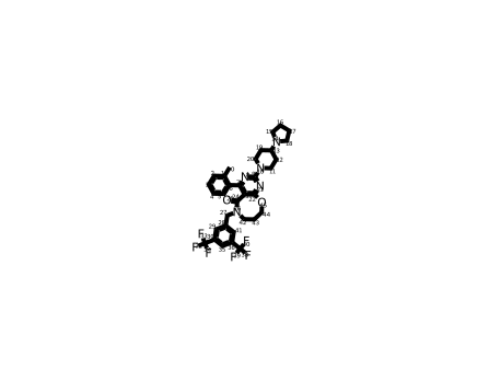 Cc1ccccc1-c1nc(N2CCC(N3CCCC3)CC2)nc2c1C(=O)N(Cc1cc(C(F)(F)F)cc(C(F)(F)F)c1)CCCO2